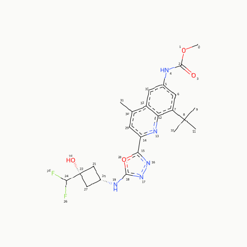 COC(=O)Nc1cc(C(C)(C)C)c2nc(-c3nnc(N[C@H]4C[C@](O)(C(F)F)C4)o3)cc(C)c2c1